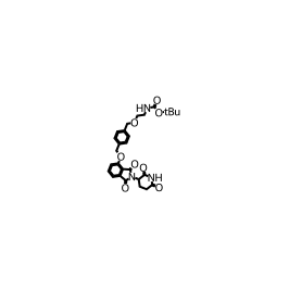 CC(C)(C)OC(=O)NCCOCc1ccc(COc2cccc3c2C(=O)N(C2CCC(=O)NC2=O)C3=O)cc1